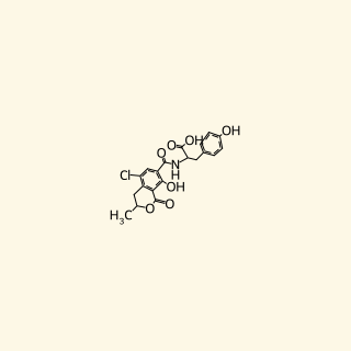 CC1Cc2c(Cl)cc(C(=O)NC(Cc3ccc(O)cc3)C(=O)O)c(O)c2C(=O)O1